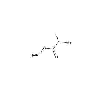 CCCCCOC(=O)C(C)C(C)C